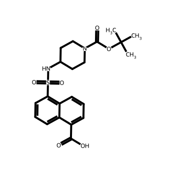 CC(C)(C)OC(=O)N1CCC(NS(=O)(=O)c2cccc3c(C(=O)O)cccc23)CC1